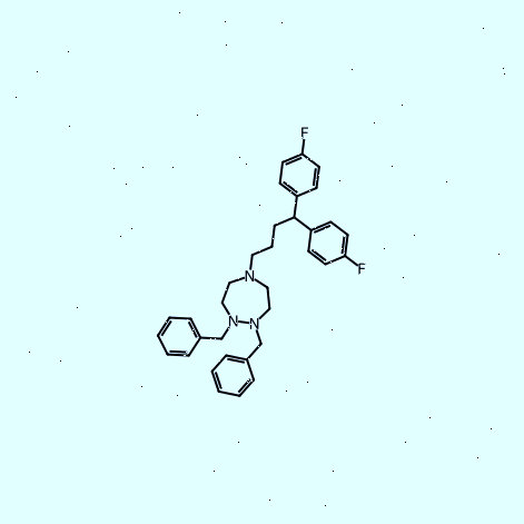 Fc1ccc(C(CCCN2CCN(Cc3ccccc3)N(Cc3ccccc3)CC2)c2ccc(F)cc2)cc1